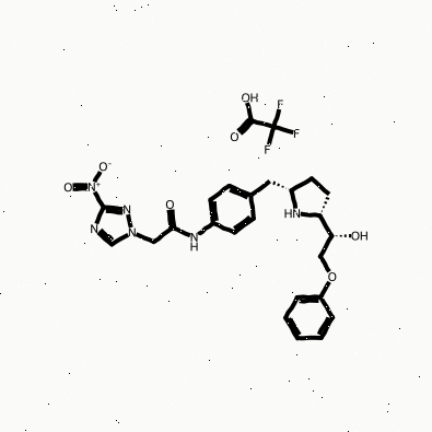 O=C(Cn1cnc([N+](=O)[O-])n1)Nc1ccc(C[C@@H]2CC[C@H]([C@H](O)COc3ccccc3)N2)cc1.O=C(O)C(F)(F)F